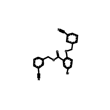 N#Cc1cccc(COC(=O)c2cc(Br)ccc2OCc2cccc(C#N)c2)c1